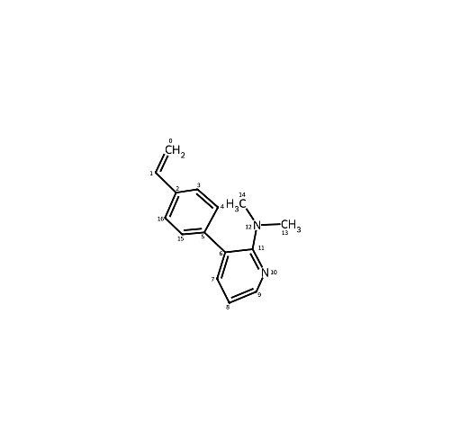 C=Cc1ccc(-c2cccnc2N(C)C)cc1